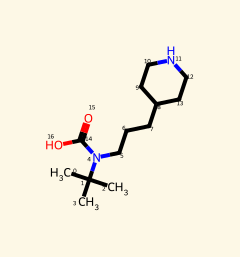 CC(C)(C)N(CCCC1CCNCC1)C(=O)O